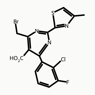 Cc1csc(-c2nc(CBr)c(C(=O)O)c(-c3cccc(F)c3Cl)n2)n1